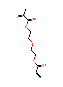 C=CC(=O)OCCOCCOC(=O)C(=C)C